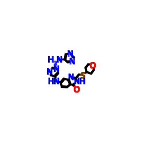 Nc1cncnc1.O=c1[nH]c(CSC2CCOCC2)nc2cc(Nc3cncnc3)ccc12